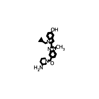 Cn1c(-c2cc3cc(O)ccc3n2CC2CC2)nc2cc(C(=O)N3CCCC(N)C3)ccc21